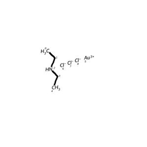 CCNCC.[Au+3].[Cl-].[Cl-].[Cl-]